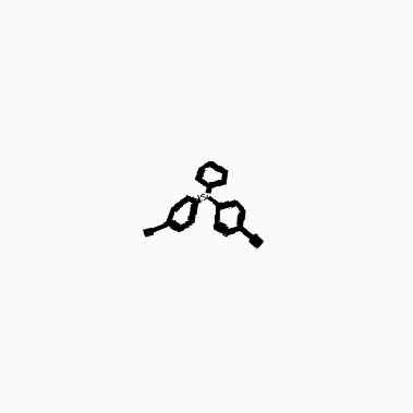 C#Cc1ccc([SiH](c2ccccc2)c2ccc(C#C)cc2)cc1